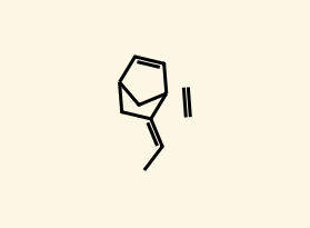 C=C.CC=C1CC2C=CC1C2